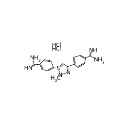 CN1N=C(c2ccc(C(=N)N)cc2)C=S1c1ccc(C(=N)N)cc1.Cl.Cl